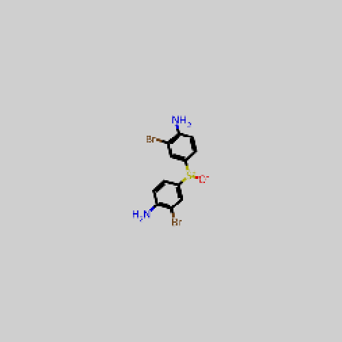 Nc1ccc([S+]([O-])c2ccc(N)c(Br)c2)cc1Br